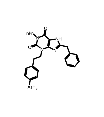 CCCn1c(=O)c2[nH]c(Cc3ccccc3)nc2n(CCc2ccc([AsH2])cc2)c1=O